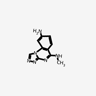 CNc1nc2nncn2c2cc(N)ccc12